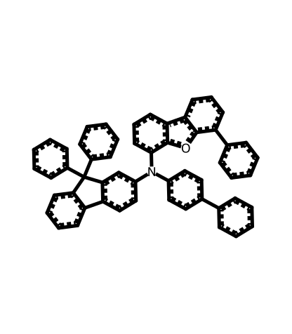 c1ccc(-c2ccc(N(c3ccc4c(c3)C(c3ccccc3)(c3ccccc3)c3ccccc3-4)c3cccc4c3oc3c(-c5ccccc5)cccc34)cc2)cc1